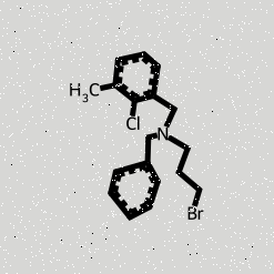 Cc1cccc(CN(CCCBr)Cc2ccccc2)c1Cl